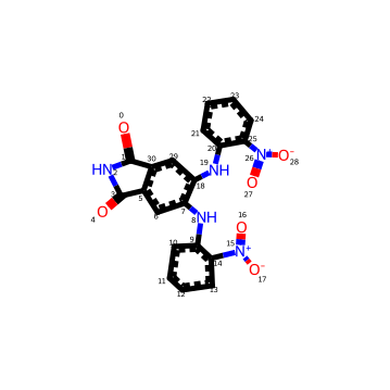 O=C1NC(=O)c2cc(Nc3ccccc3[N+](=O)[O-])c(Nc3ccccc3[N+](=O)[O-])cc21